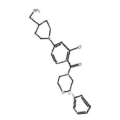 NCC1CCN(c2ccc(C(=O)N3CCO[C@@H](c4ccccc4)C3)c(Cl)c2)CC1